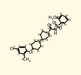 Cc1cc(Cl)ccc1OC1CCN(C2CCN(C(=O)NS(=O)(=O)c3ccccc3C)CC2)CC1